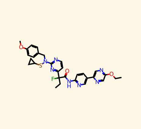 CCOc1cnc(-c2ccc(NC(=O)C(F)(CC)c3ccnc(N(Cc4ccc(OC)cc4)SC4CC4)n3)nc2)cn1